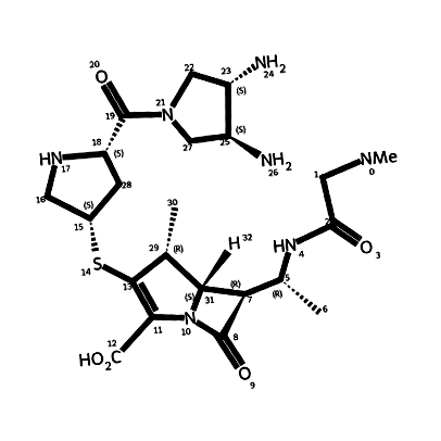 CNCC(=O)N[C@H](C)[C@H]1C(=O)N2C(C(=O)O)=C(S[C@@H]3CN[C@H](C(=O)N4C[C@H](N)[C@@H](N)C4)C3)[C@H](C)[C@H]12